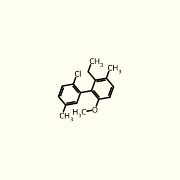 CCc1c(C)ccc(OC)c1-c1cc(C)ccc1Cl